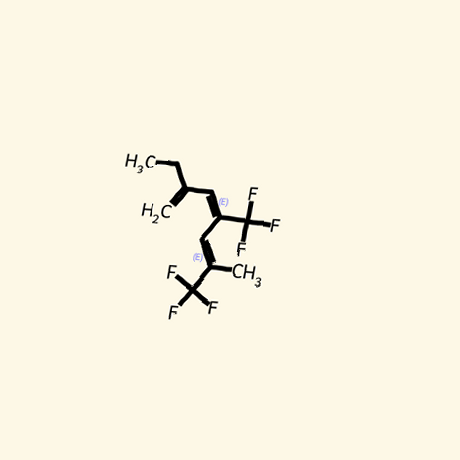 C=C(/C=C(\C=C(/C)C(F)(F)F)C(F)(F)F)CC